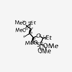 CCC(OC(=O)C(C)=CC(CC)(OC)OC)[Si](OC)(OC)OC